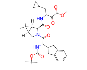 COC(=O)C(=O)C(CC1CC1)NC(=O)[C@@H]1[C@H]2[C@@H](CN1C(=O)[C@@H](NC(=O)OC(C)(C)C)C1Cc3ccccc3C1)C2(C)C